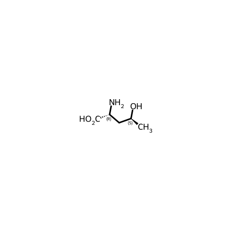 C[C@H](O)C[C@@H](N)C(=O)O